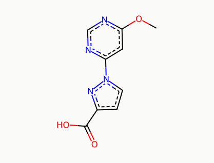 COc1cc(-n2ccc(C(=O)O)n2)ncn1